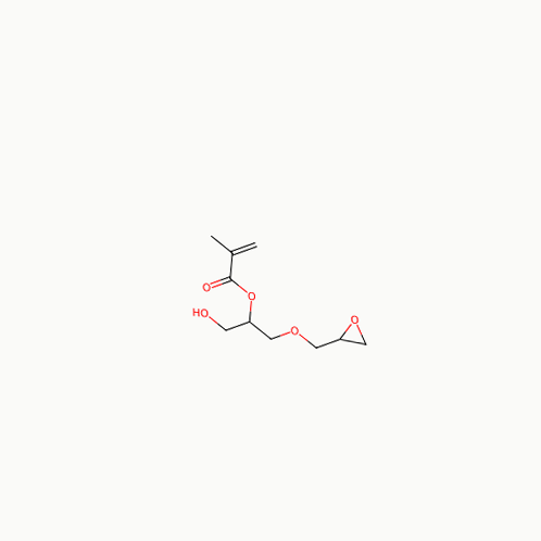 C=C(C)C(=O)OC(CO)COCC1CO1